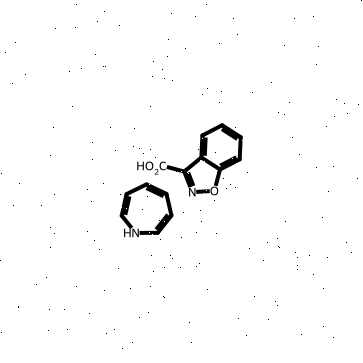 C1=CC=CNC=C1.O=C(O)c1noc2ccccc12